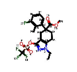 CCn1nc(OS(=O)(=O)C(F)(F)F)c2c1CCC(C(=O)OC)(c1cccc(F)c1C)C2